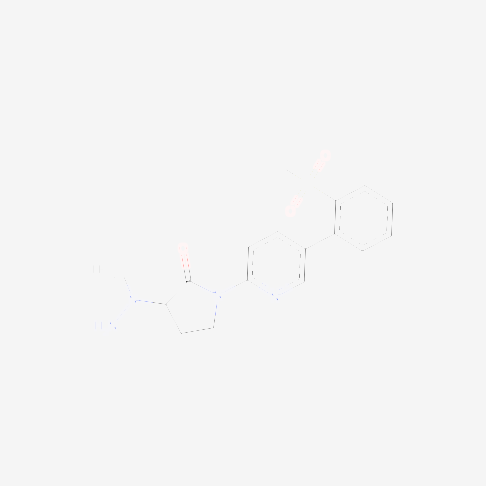 CS(=O)(=O)c1ccccc1-c1ccc(N2CCC(N(N)C(=O)O)C2=O)nc1